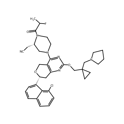 CC(F)C(=O)N1CCN(c2nc(OCC3(CN4CCCC4)CC3)nc3c2CO[C@@H](c2cccc4cccc(Cl)c24)C3)C[C@@H]1CC#N